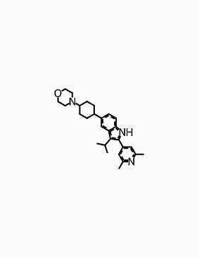 Cc1cc(-c2[nH]c3ccc(C4CCC(N5CCOCC5)CC4)cc3c2C(C)C)cc(C)n1